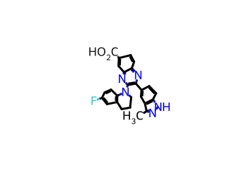 Cc1n[nH]c2ccc(-c3nc4ccc(C(=O)O)cc4nc3N3CCCc4cc(F)ccc43)cc12